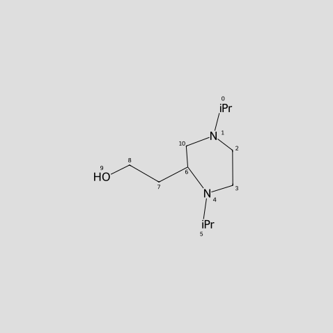 CC(C)N1CCN(C(C)C)C(CCO)C1